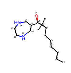 CCCCCCCC(C)(C)C(=O)C1CNCCNC1